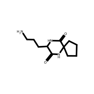 NCCCC1NC(=O)C2(CCCC2)NC1=O